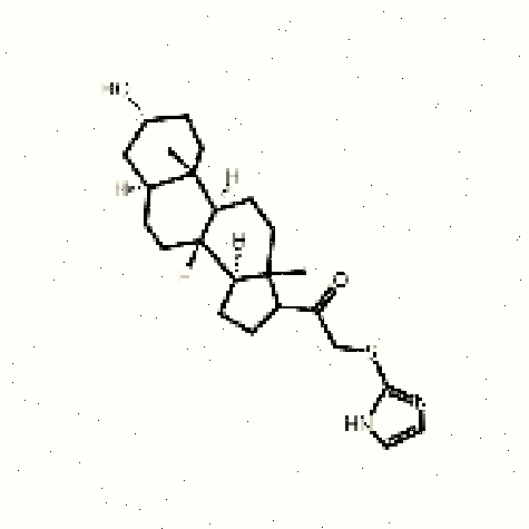 C[C@]12CC[C@@H](O)C[C@@H]1CC[C@@H]1[C@@H]2CC[C@]2(C)[C@@H](C(=O)CSc3ncc[nH]3)CC[C@@H]12